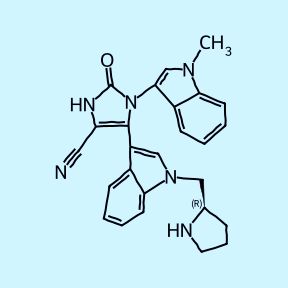 Cn1cc(-n2c(-c3cn(C[C@H]4CCCN4)c4ccccc34)c(C#N)[nH]c2=O)c2ccccc21